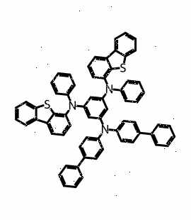 c1ccc(-c2ccc(N(c3ccc(-c4ccccc4)cc3)c3cc(N(c4ccccc4)c4cccc5c4sc4ccccc45)cc(N(c4ccccc4)c4cccc5c4sc4ccccc45)c3)cc2)cc1